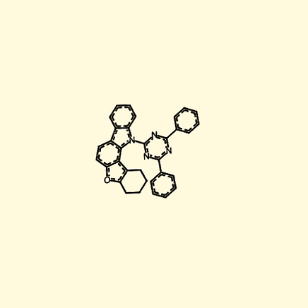 c1ccc(-c2nc(-c3ccccc3)nc(-n3c4ccccc4c4ccc5oc6c(c5c43)CCCC6)n2)cc1